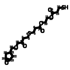 O=C(CCSCCC(=O)OCCOC(=O)CCS)COCC1CC2OC2C1